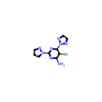 Nc1nc(-n2cccn2)nc(-n2nccn2)c1Br